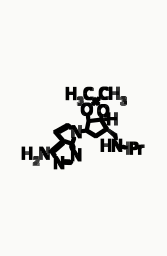 CC(C)NC[C@H]1CC(n2ccc3c(N)ncnc32)C2OC(C)(C)O[C@@H]21